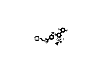 O=S(=O)(Nc1cc(-c2cc(F)ccc2F)cc(-n2cnc3cc(-c4cnn(CCN5CCOCC5)c4)ccc32)c1)C1CC1